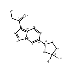 CCC(=O)c1cnn2cc(N3CCC(F)(F)C3)ccc12